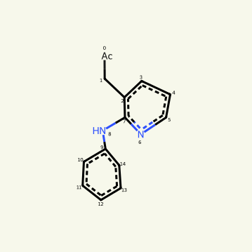 CC(=O)Cc1cccnc1Nc1ccccc1